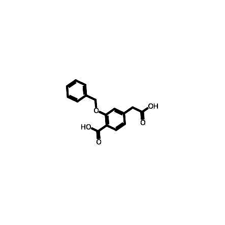 O=C(O)Cc1ccc(C(=O)O)c(OCc2ccccc2)c1